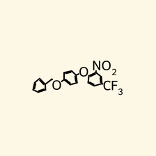 O=[N+]([O-])c1cc(C(F)(F)F)ccc1Oc1ccc(OCc2ccccc2)cc1